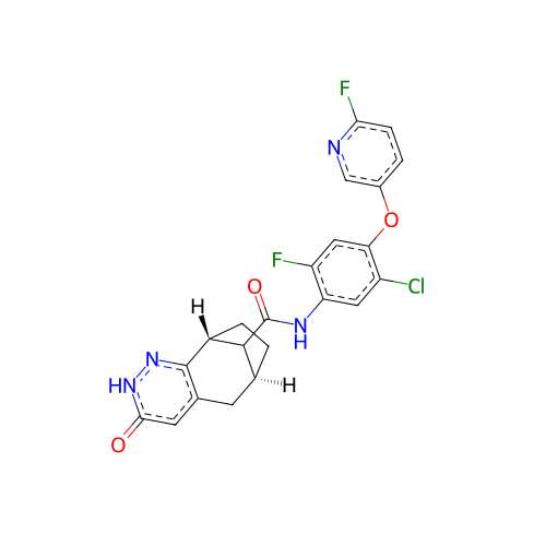 O=C(Nc1cc(Cl)c(Oc2ccc(F)nc2)cc1F)C1[C@H]2CC[C@H]1c1n[nH]c(=O)cc1C2